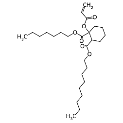 C=CC(=O)OC1(C(=O)OCCCCCCC)CCCCC1C(=O)OCCCCCCCCC